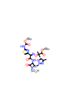 Cc1cnn(C[C@@H]2[C@H](NC(=O)C(=NOC(C)(C)C(=O)OC(C)(C)C)c3csc(NC(=O)OC(C)(C)C)n3)C(=O)N2S(=O)(=O)O)n1